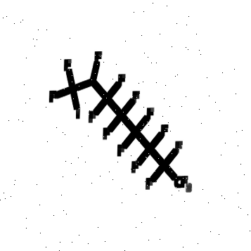 FC(C(F)(F)I)C(F)(F)C(F)(F)C(F)(F)C(F)(F)C(F)(F)C(F)(F)F